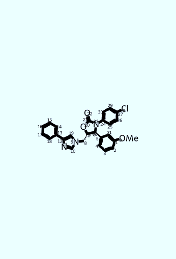 COc1cccc([C@H]2[C@H](Cn3cnc(-c4ccccc4)c3)OC(=O)N2c2ccc(Cl)cc2)c1